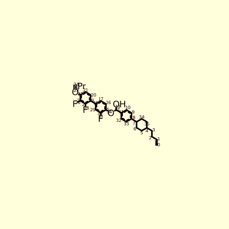 C=CCCC1CCC(c2ccc(C(O)Oc3ccc(-c4ccc(OCCC)c(F)c4F)cc3F)cc2)CC1